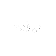 CCOC(=O)c1ccc(N2C(=O)CN(c3cccc(C(=O)O)c3)C2=O)cc1